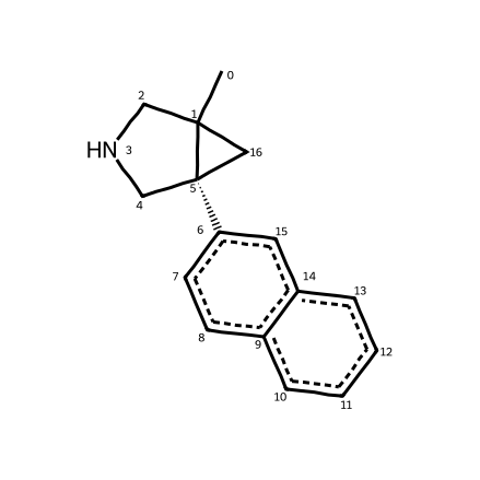 CC12CNC[C@]1(c1ccc3ccccc3c1)C2